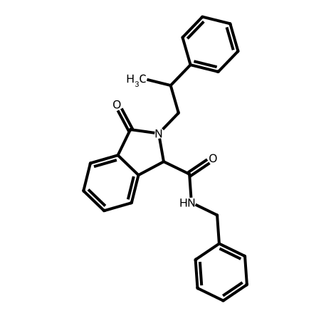 CC(CN1C(=O)c2ccccc2C1C(=O)NCc1ccccc1)c1ccccc1